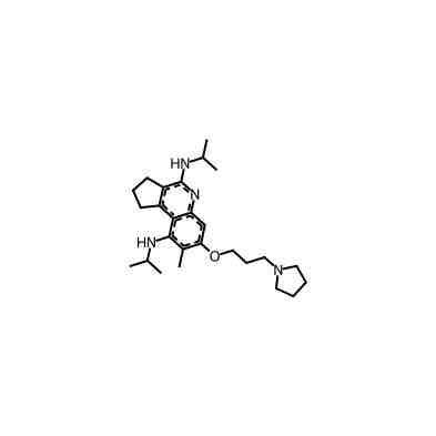 Cc1c(OCCCN2CCCC2)cc2nc(NC(C)C)c3c(c2c1NC(C)C)CCC3